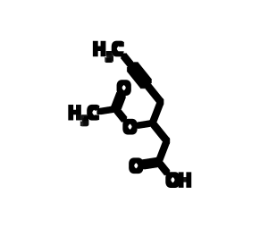 CC#CCC(CC(=O)O)OC(C)=O